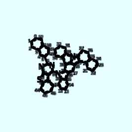 c1ccc2cc(-c3nc(-n4c5ccccc5c5cc6c7c8ccccc8ccc7n7c8ccccc8c(c54)c67)c4c(n3)sc3ccccc34)ccc2c1